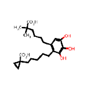 CC(C)(CCCCc1cc(O)c(O)c(O)c1CCCCCC1(C(=O)O)CC1)C(=O)O